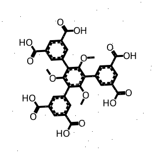 COc1c(-c2cc(C(=O)O)cc(C(=O)O)c2)c(OC)c(-c2cc(C(=O)O)cc(C(=O)O)c2)c(OC)c1-c1cc(C(=O)O)cc(C(=O)O)c1